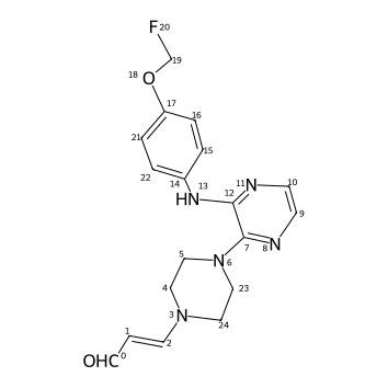 O=CC=CN1CCN(c2nccnc2Nc2ccc(OCF)cc2)CC1